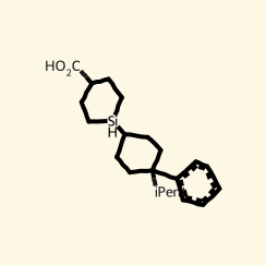 CCCC(C)C1(c2ccccc2)CCC([SiH]2CCC(C(=O)O)CC2)CC1